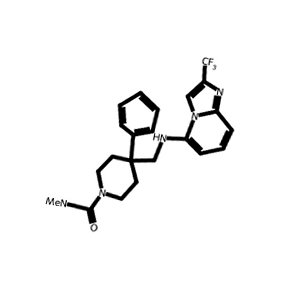 CNC(=O)N1CCC(CNc2cccc3nc(C(F)(F)F)cn23)(c2ccccc2)CC1